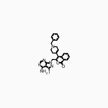 Nc1ncnc2c1c(I)nn2Cc1oc(=O)c2ccccc2c1C1=CCN(Cc2ccccc2)CC1